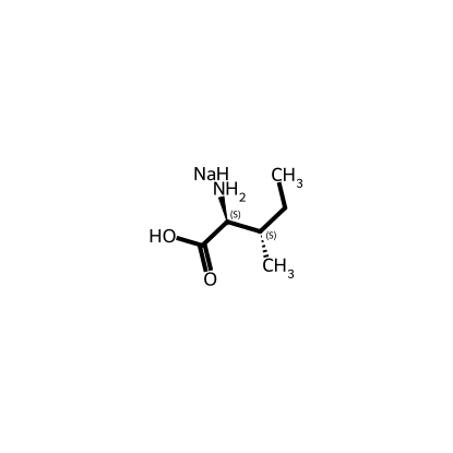 CC[C@H](C)[C@H](N)C(=O)O.[NaH]